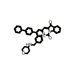 CC(=O)N1/C(=C\c2cc(-c3ccc(-c4ccccc4)cc3)c3cc(CNC4CCOCC4)ccc3n2)C(=O)c2ccccc21